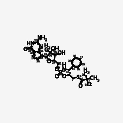 CCC(C)(C)C(=O)SCCOP(=O)(NCc1ccccc1)OC[C@H]1O[C@@H](n2cnc3c(=O)[nH]c(N)nc32)C(C)(O)[C@H]1O